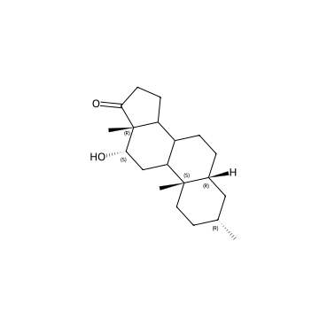 C[C@@H]1CC[C@]2(C)C3C[C@H](O)[C@]4(C)C(=O)CCC4C3CC[C@@H]2C1